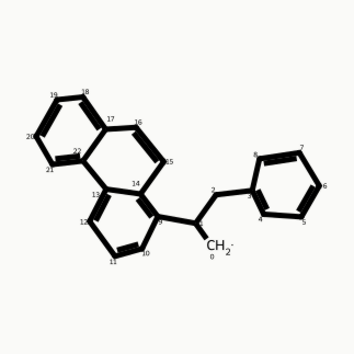 [CH2]C(Cc1ccccc1)c1cccc2c1ccc1ccccc12